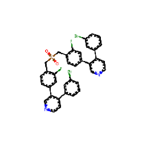 O=S(=O)(Cc1ccc(-c2cnccc2-c2cccc(Br)c2)cc1F)Cc1ccc(-c2cnccc2-c2cccc(Br)c2)cc1F